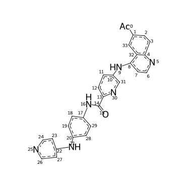 CC(=O)c1ccc2nccc(Nc3ccc(C(=O)Nc4ccc(Nc5ccncc5)cc4)nc3)c2c1